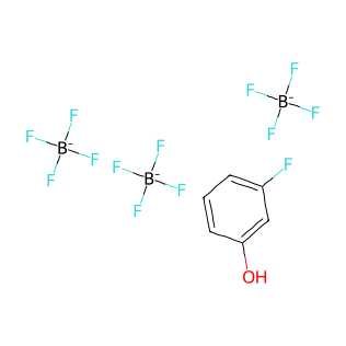 F[B-](F)(F)F.F[B-](F)(F)F.F[B-](F)(F)F.Oc1cccc(F)c1